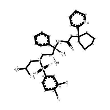 CC(C)CN(C[C@@H](O)[C@@](C)(NC(=O)CC1(c2ccccn2)CCCCC1)c1ccccc1)S(=O)(=O)c1ccc(F)c(Cl)c1